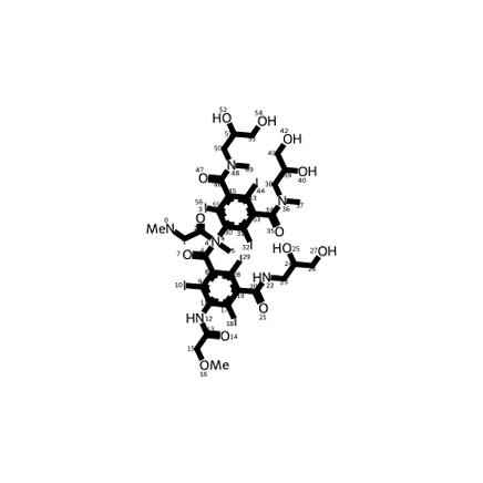 CNCC(=O)[N+](C)(C(=O)c1c(I)c(NC(=O)COC)c(I)c(C(=O)NCC(O)CO)c1I)c1c(I)c(C(=O)N(C)CC(O)CO)c(I)c(C(=O)N(C)CC(O)CO)c1I